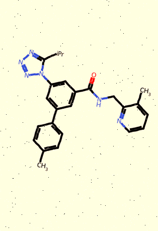 Cc1ccc(-c2cc(C(=O)NCc3ncccc3C)cc(-n3nnnc3C(C)C)c2)cc1